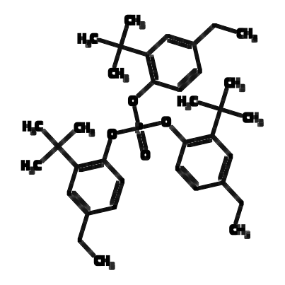 CCc1ccc(OP(=O)(Oc2ccc(CC)cc2C(C)(C)C)Oc2ccc(CC)cc2C(C)(C)C)c(C(C)(C)C)c1